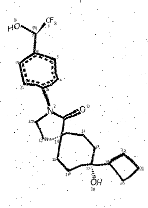 O=C1N(c2ccc([C@@H](O)C(F)(F)F)cc2)CC[C@]12CC[C@](O)(C1CCC1)CC2